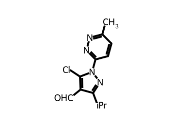 Cc1ccc(-n2nc(C(C)C)c(C=O)c2Cl)nn1